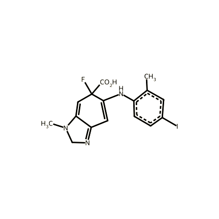 Cc1cc(I)ccc1NC1=CC2=NCN(C)C2=CC1(F)C(=O)O